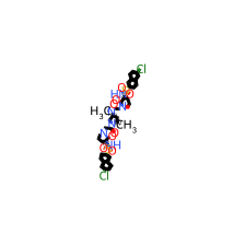 C[C@H]1C[C@@H](N(C)C(=O)CN2CCC[C@H](NS(=O)(=O)c3ccc4cc(Cl)ccc4c3)C2=O)CN1C(=O)CN1CCC[C@H](NS(=O)(=O)c2ccc3cc(Cl)ccc3c2)C1=O